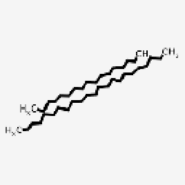 CCCCCCCCCCCCCCCCC.CCCCCCCCCCCCCCCCCCCCCCC